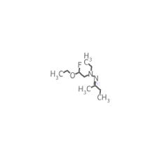 CCOC(F)CN(CC)/N=C(\C)CC